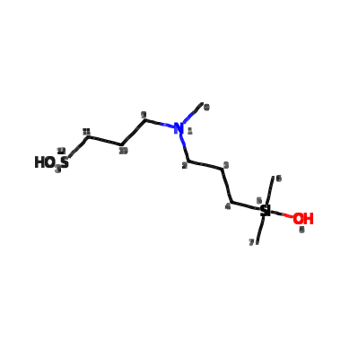 CN(CCC[Si](C)(C)O)CCCS(=O)(=O)O